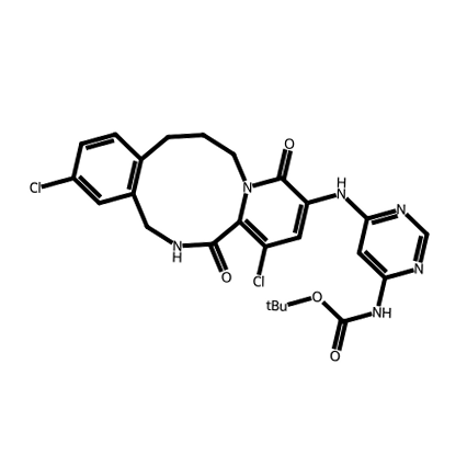 CC(C)(C)OC(=O)Nc1cc(Nc2cc(Cl)c3n(c2=O)CCCc2ccc(Cl)cc2CNC3=O)ncn1